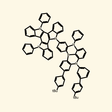 CC(C)(C)c1ccc(-c2cccc(N3c4cc(-c5ccc(C(C)(C)C)cc5)ccc4B4c5ccc(-n6c7ccccc7c7c8c(c9ccccc9n8-c8ccccc8)c8c(c9ccccc9n8-c8ccccc8)c76)cc5N(c5ccccc5)c5cccc3c54)c2)cc1